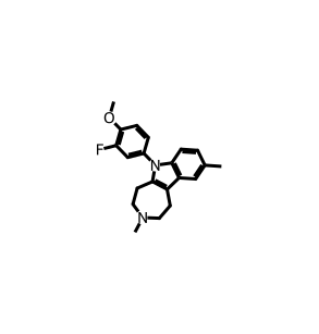 COc1ccc(-n2c3c(c4cc(C)ccc42)CCN(C)CC3)cc1F